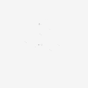 CCCCNc1ncc(-c2nc3cc(F)ccc3[nH]2)c(N[C@H]2CCNC2)n1